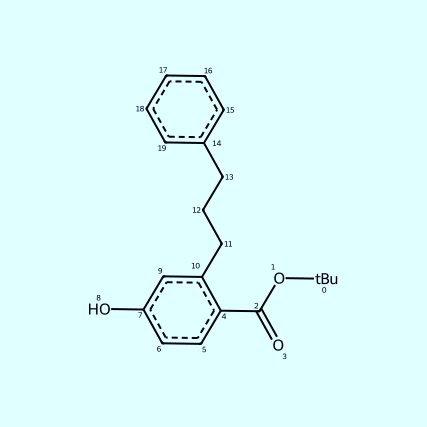 CC(C)(C)OC(=O)c1ccc(O)cc1CCCc1ccccc1